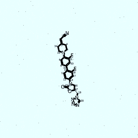 N#CC=C1CCN(c2ccc(-c3ccc(N4C[C@H](Cn5cnnn5)OC4=O)cc3F)cc2F)CC1